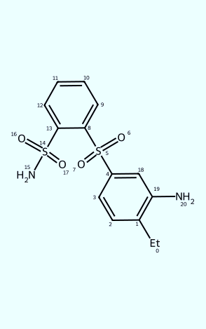 CCc1ccc(S(=O)(=O)c2ccccc2S(N)(=O)=O)cc1N